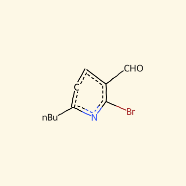 CCCCc1ccc(C=O)c(Br)n1